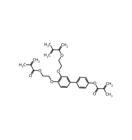 C=C(C)C(=C)OCCOc1cc(-c2ccc(OC(=O)C(=C)C)cc2)ccc1OCCOC(=O)C(=C)C